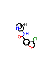 O=C(N[C@@H]1C[C@H]2CCN(C2)C1)c1ccc2c(c1)C(Cl)=CCO2